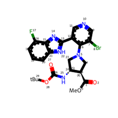 COC(=O)[C@@H]1CN(c2c(Br)cncc2-c2nc3c(F)cccc3[nH]2)C[C@H]1NC(=O)OC(C)(C)C